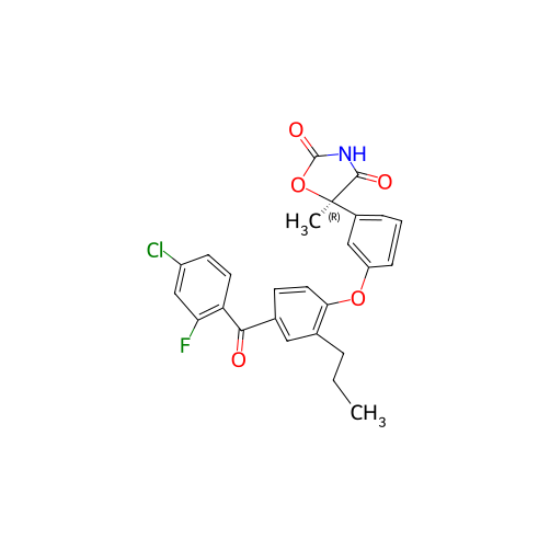 CCCc1cc(C(=O)c2ccc(Cl)cc2F)ccc1Oc1cccc([C@@]2(C)OC(=O)NC2=O)c1